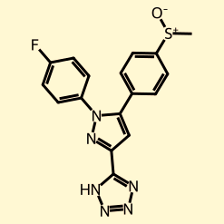 C[S+]([O-])c1ccc(-c2cc(-c3nnn[nH]3)nn2-c2ccc(F)cc2)cc1